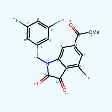 COC(=O)c1cc(I)c2c(c1)N(Cc1cc(F)cc(F)c1)C(=O)C2=O